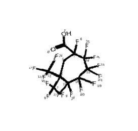 O=C(O)C1(F)CC(C(F)(F)F)(C(F)(F)F)C(F)(F)C(F)(F)C(F)(F)C1(F)F